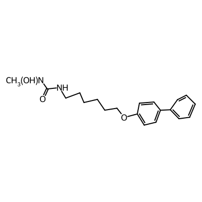 CN(O)C(=O)NCCCCCCOc1ccc(-c2ccccc2)cc1